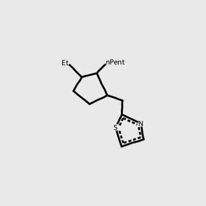 CCCCCC1C(CC)CCC1Cc1nccs1